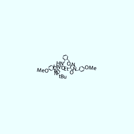 CCc1c(OCc2ccccc2CNC(=O)Nc2cc(C(C)(C)C)nn2-c2cccc(OC)c2)ncn(Cc2ccc(OC)cc2)c1=O